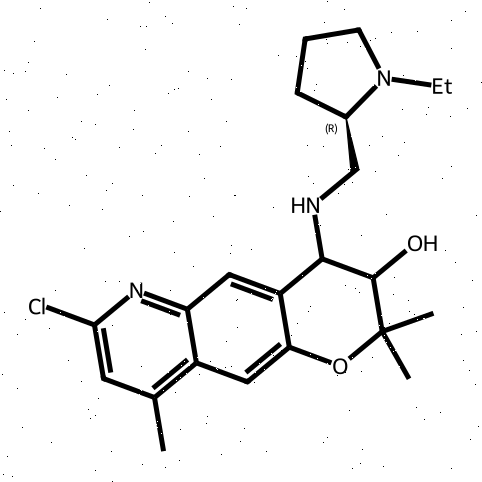 CCN1CCC[C@@H]1CNC1c2cc3nc(Cl)cc(C)c3cc2OC(C)(C)C1O